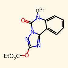 CCCn1c(=O)n2nc(OC(=O)OCC)nc2c2ccccc21